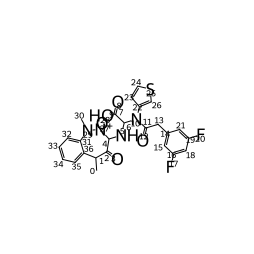 CC1C(=O)C(NC(C(=O)O)N(C(=O)Cc2cc(F)cc(F)c2)c2ccsc2)[N+](=O)N(C)c2ccccc21